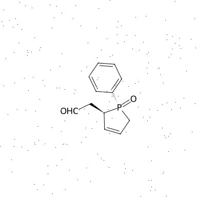 O=CC[C@@H]1C=CC[P@@]1(=O)c1ccccc1